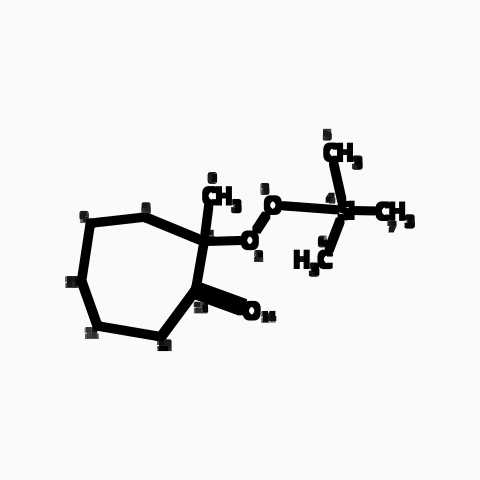 CC1(OO[Si](C)(C)C)CCCCCC1=O